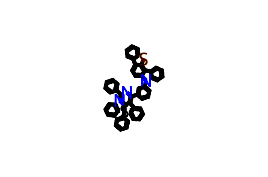 c1ccc(-c2nc(-c3cccc(-n4c5ccccc5c5c6sc7ccccc7c6ccc54)c3)c3c(n2)[Si](c2ccccc2)(c2ccccc2)c2ccccc2-3)cc1